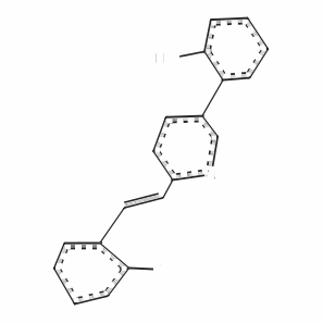 Oc1ccccc1-c1ccc(C=Cc2ccccc2Cl)nc1